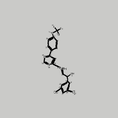 OC(CNc1cc(-c2ccc(OC(F)(F)F)cc2)ncn1)c1cc(Cl)cc(Cl)c1